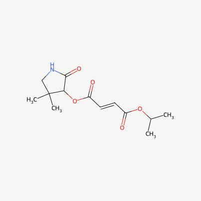 CC(C)OC(=O)/C=C/C(=O)OC1C(=O)NCC1(C)C